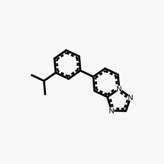 CC(C)c1cccc(-c2ccn3ncnc3c2)c1